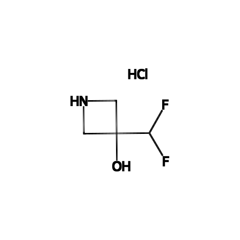 Cl.OC1(C(F)F)CNC1